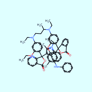 CCOc1cc(N(CC)CCC(C)N(CC)c2ccc3c(c2)Oc2cc(C)c(Nc4ccccc4)cc2C32OC(=O)c3ccccc32)ccc1C1(c2c(C)n(CC)c3ccccc23)OC(=O)c2cccnc21